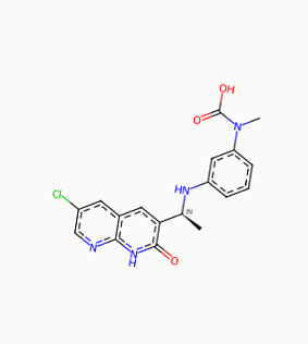 C[C@H](Nc1cccc(N(C)C(=O)O)c1)c1cc2cc(Cl)cnc2[nH]c1=O